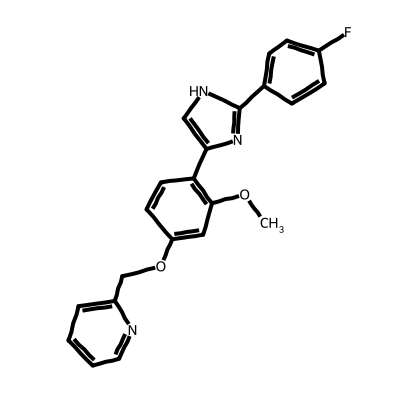 COc1cc(OCc2ccccn2)ccc1-c1c[nH]c(-c2ccc(F)cc2)n1